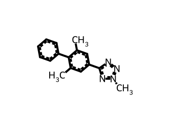 Cc1cc(-c2nnn(C)n2)cc(C)c1-c1ccccc1